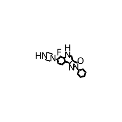 O=c1c2c[nH]c3c(F)c(N4CCNCC4)ccc3c-2nn1-c1ccccc1